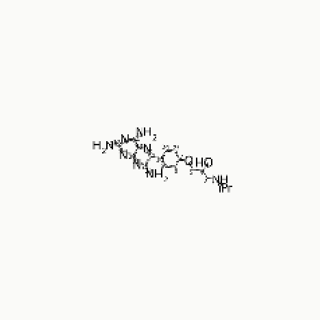 CC(C)NCC(O)COc1ccc(-c2nc3c(N)nc(N)nc3nc2N)cc1